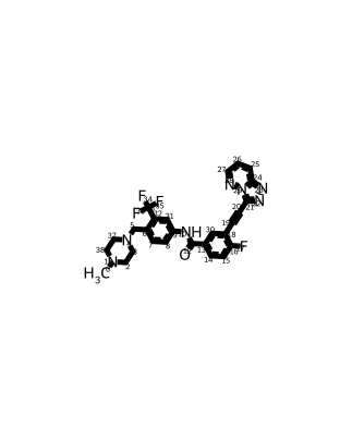 CN1CCN(Cc2ccc(NC(=O)c3ccc(F)c(C#Cc4nnc5cccnn45)c3)cc2C(F)(F)F)CC1